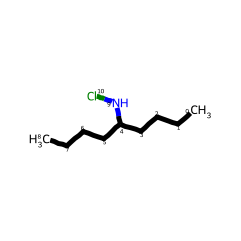 CCCCC(CCCC)NCl